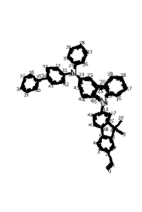 C=Cc1ccc2c(c1)C(C)(C)c1cc(-n3c4ccccc4c4cc(N(c5ccccc5)c5ccc(-c6ccccc6)cc5)ccc43)ccc1-2